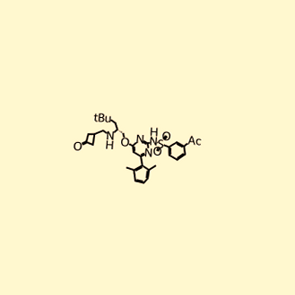 CC(=O)c1cccc(S(=O)(=O)Nc2nc(OC[C@@H](CC(C)(C)C)NCC3CC(=O)C3)cc(-c3c(C)cccc3C)n2)c1